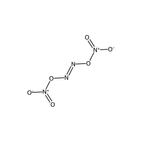 O=[N+]([O-])ON=NO[N+](=O)[O-]